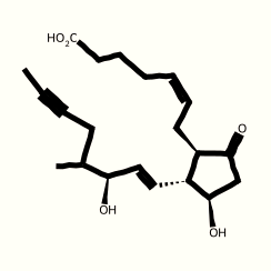 CC#CCC(C)[C@H](O)/C=C/[C@H]1[C@H](O)CC(=O)[C@@H]1C/C=C\CCCC(=O)O